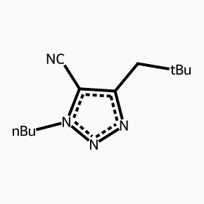 CCCCn1nnc(CC(C)(C)C)c1C#N